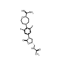 CC(=O)NC[C@H]1CN(c2cc(F)c(N3CCON(C(=N)N)CC3)c(F)c2)C(=O)O1